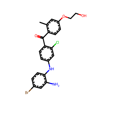 Cc1cc(OCCO)ccc1C(=O)c1ccc(Nc2ccc(Br)cc2N)cc1Cl